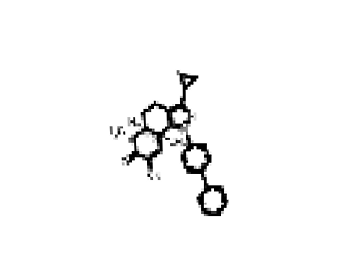 C[C@H]1C(=O)C(C#N)=C[C@@]2(C)c3c(c(C4CC4)nn3-c3ccc(-c4ccccc4)cc3)CC[C@H]12